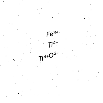 [Fe+3].[O-2].[Ti+4].[Ti+4]